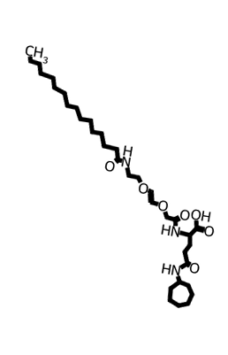 CCCCCCCCCCCCCCCC(=O)NCCO/C=C/OCC(=O)NC(CCC(=O)NC1CCCCCC1)C(=O)O